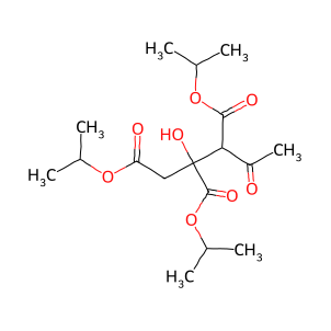 CC(=O)C(C(=O)OC(C)C)C(O)(CC(=O)OC(C)C)C(=O)OC(C)C